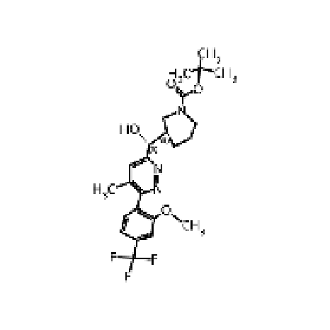 COc1cc(C(F)(F)F)ccc1-c1nnc([C@H](O)[C@@H]2CCCN(C(=O)OC(C)(C)C)C2)cc1C